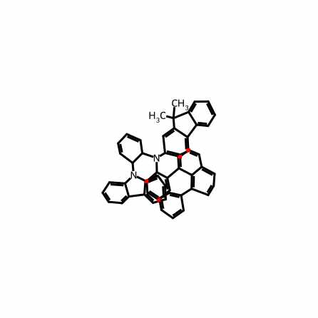 CC1(C)c2ccccc2-c2ccc(N(c3ccccc3-c3cccc4cccc(-c5ccccc5)c34)C3C=CC=CC3n3c4ccccc4c4ccccc43)cc21